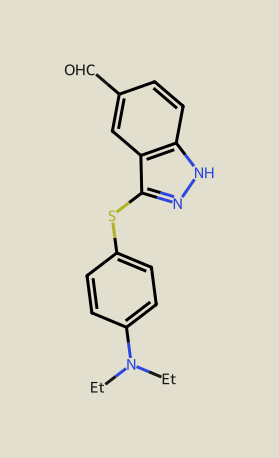 CCN(CC)c1ccc(Sc2n[nH]c3ccc(C=O)cc23)cc1